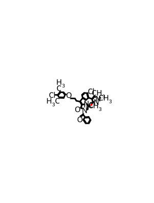 Cc1cc(OCCCc2c3n(c4c(-c5c(C)nn(C)c5C)c(Cl)ccc24)[C@H](C)CN(c2coc4ccccc24)C3=O)cc(C)c1Cl